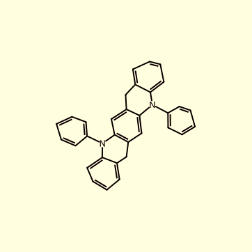 c1ccc(N2c3ccccc3Cc3cc4c(cc32)Cc2ccccc2N4c2ccccc2)cc1